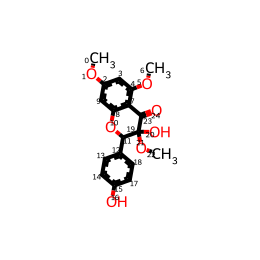 COc1cc(OC)c2c(c1)OC(c1ccc(O)cc1)C(O)(OC)C2=O